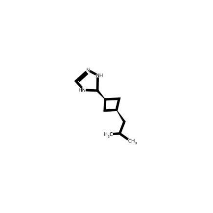 CC(C)C[C@H]1C[C@@H](C2NC=NN2)C1